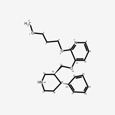 COCCCOc1ncccc1OC[C@@H]1CNCC[C@H]1c1ccccc1